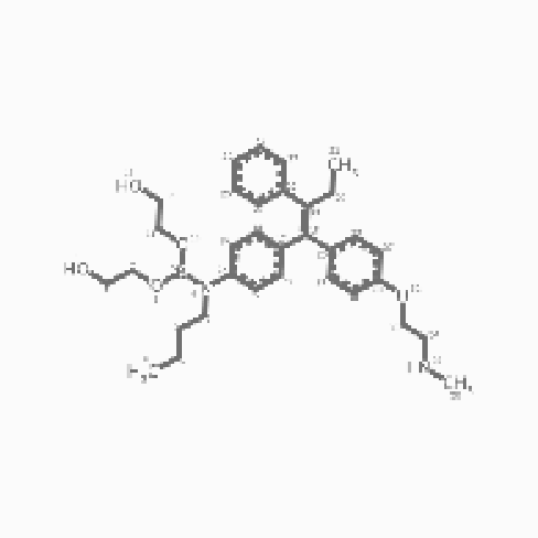 CCCCN(B(OCCO)OCCO)c1ccc(C(=C(CC)c2ccccc2)c2ccc(OCCNC)cc2)cc1